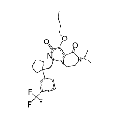 CCCCOc1c2n(c(CC3(c4cccc(C(F)(F)F)c4)CCCC3)nc1=O)CCN(C(C)C)C2=O